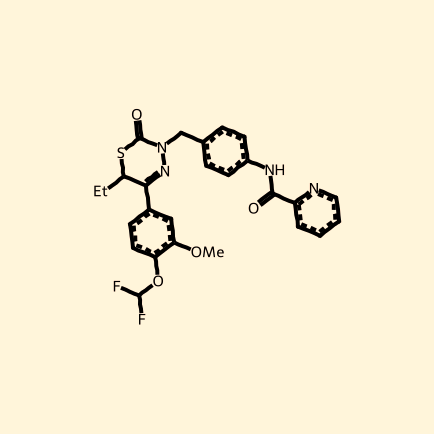 CCC1SC(=O)N(Cc2ccc(NC(=O)c3ccccn3)cc2)N=C1c1ccc(OC(F)F)c(OC)c1